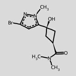 CN(C)C(=O)[C@H]1C[C@](O)(c2cc(Br)nn2C)C1